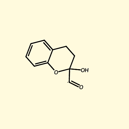 O=[C]C1(O)CCc2ccccc2O1